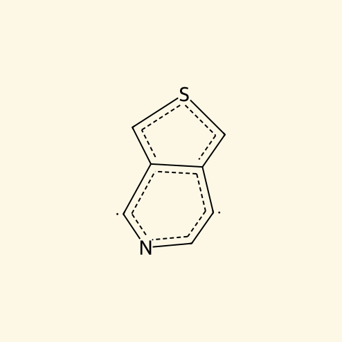 [c]1cn[c]c2cscc12